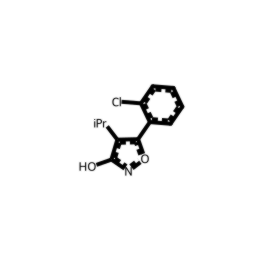 CC(C)c1c(O)noc1-c1ccccc1Cl